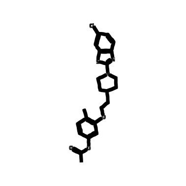 CC(=O)Oc1ccc(C)c(OCCC2CCN(c3nc4ccc(Cl)cc4s3)CC2)c1